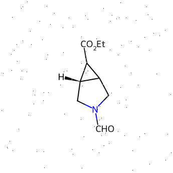 CCOC(=O)C1C2CN(C=O)C[C@@H]21